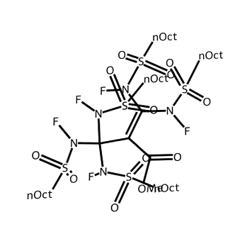 CCCCCCCCS(=O)(=O)N(F)C(=C(C(=O)OC)C(N(F)S(=O)(=O)CCCCCCCC)(N(F)S(=O)(=O)CCCCCCCC)N(F)S(=O)(=O)CCCCCCCC)N(F)S(=O)(=O)CCCCCCCC